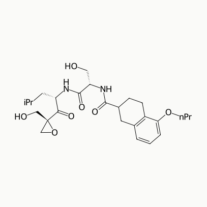 CCCOc1cccc2c1CCC(C(=O)N[C@@H](CO)C(=O)N[C@@H](CC(C)C)C(=O)[C@@]1(CO)CO1)C2